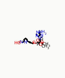 CC1(C)O[C@@H]2[C@H](O1)[C@@H](COCC#Cc1cccc(/C=N/O)n1)O[C@H]2n1cnc2c(N)ncnc21